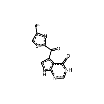 CC(C)c1csc(C(=O)c2c[nH]c3nc[nH]c(=O)c23)n1